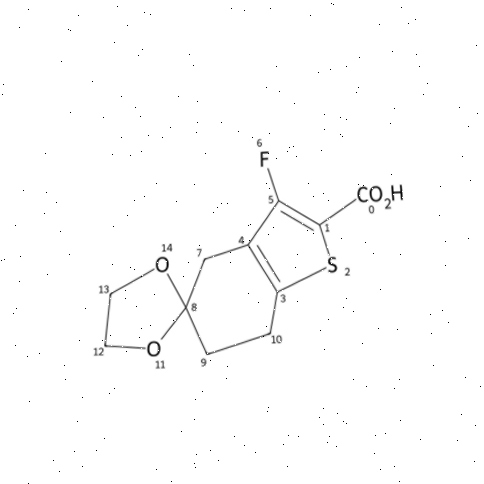 O=C(O)c1sc2c(c1F)CC1(CC2)OCCO1